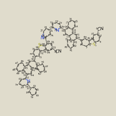 N#Cc1ccc2sc3ccc(-c4cc5c6ccccc6c(-c6cccc(-c7ccnc(-c8cc(C#N)cc9c8sc8ccc(-c%10cc%11c%12ccccc%12c(-c%12cccc(-c%13ccccc%13)n%12)cc%11c%11ccccc%10%11)cc89)c7)n6)cc5c5ccccc45)cc3c2c1